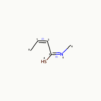 C/C=C\C(S)=N/C